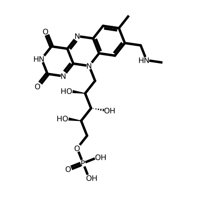 CNCc1cc2c(cc1C)nc1c(=O)[nH]c(=O)nc-1n2C[C@H](O)[C@H](O)[C@H](O)COP(=O)(O)O